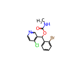 CNC(=O)OC(c1cnccc1Cl)c1ccccc1Br